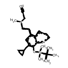 C#CCN(C)CCc1cc(C2CC2)c(O[Si](C)(C)C(C)(C)C)c2ncccc12